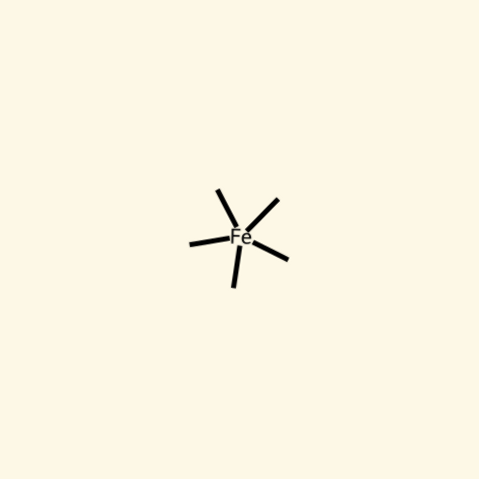 [CH3][Fe]([CH3])([CH3])([CH3])[CH3]